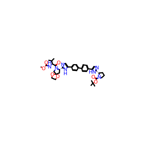 COC(=O)N[C@H](C(=O)N1CC2(C[C@H]1c1ncc(-c3ccc(-c4ccc(-c5cnc([C@@H]6CCCN6C(=O)OC(C)(C)C)[nH]5)cc4)cc3)[nH]1)OCCO2)C(C)C